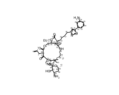 C=CC[C@H]1C(=O)O[C@H](CC)[C@@]2(C)OC(=O)N(CCCCn3cc(-c4cccc(N)c4)nn3)[C@@H]2[C@@H](C)NC[C@H](C)C[C@@](C)(OC)[C@H](O[C@@H]2O[C@H](C)CC(N)C2O)[C@@H](C)C1=O